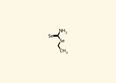 CC[Se]C(N)=[Se]